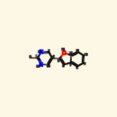 Cc1ncc(-c2cc3ccccc3o2)cn1